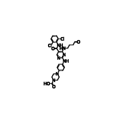 O=CCCCNc1nc(Nc2ccc(N3CCN(C(=O)O)CC3)cc2)ncc1C(=O)Nc1c(Cl)cccc1Cl